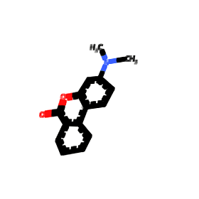 CN(C)c1ccc2c(c1)oc(=O)c1ccccc12